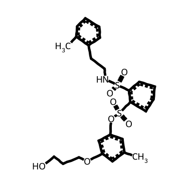 Cc1cc(OCCCO)cc(OS(=O)(=O)c2ccccc2S(=O)(=O)NCCc2ccccc2C)c1